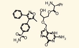 CC(C)[C@H](N)C(=O)OCC(CO)OCn1cnc2c(=O)nc(N)[nH]c21.Cc1onc(-c2ccccc2)c1-c1ccc(S(N)(=O)=O)cc1